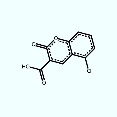 O=C(O)c1cc2c(Cl)cccc2oc1=O